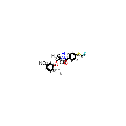 C[C@](C#N)(COc1cc(C#N)ccc1C(F)(F)F)NC(=O)c1ccc(SCF)cc1